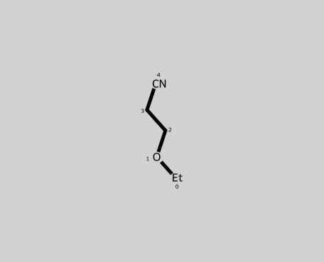 [CH2]COCCC#N